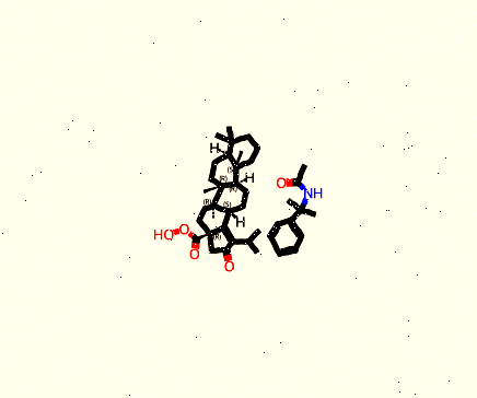 CC(=O)NC(C)(C)c1ccccc1.CC(C)C1=C2[C@H]3CC[C@@H]4[C@@]5(C)CCCC(C)(C)[C@@H]5CC[C@@]4(C)[C@]3(C)CC[C@@]2(C(=O)OO)CC1=O